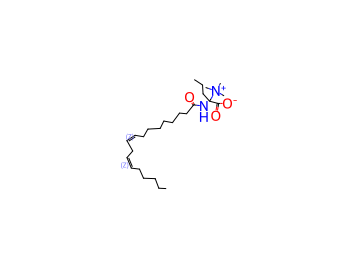 CCCCC/C=C\C/C=C\CCCCCCCC(=O)NC(CCC)(C(=O)[O-])[N+](C)(C)C